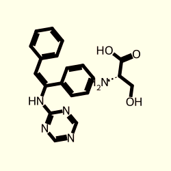 C(=C(Nc1ncncn1)c1ccccc1)c1ccccc1.N[C@@H](CO)C(=O)O